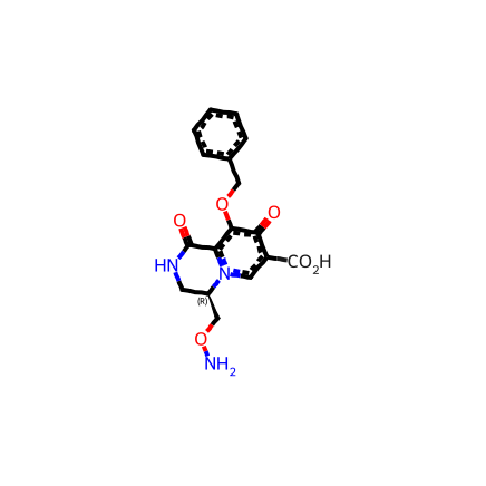 NOC[C@H]1CNC(=O)c2c(OCc3ccccc3)c(=O)c(C(=O)O)cn21